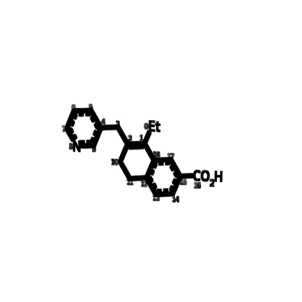 CCC1=C(Cc2cccnc2)CCc2ccc(C(=O)O)cc21